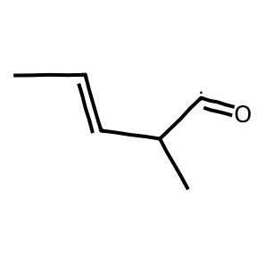 C/C=C/C(C)[C]=O